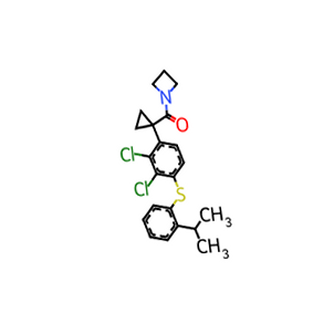 CC(C)c1ccccc1Sc1ccc(C2(C(=O)N3CCC3)CC2)c(Cl)c1Cl